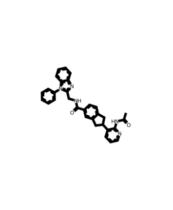 CC(=O)Nc1ncccc1C1Cc2ccc(C(=O)NCc3nc4ccccc4n3-c3ccccc3)cc2C1